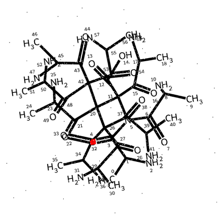 CC(N)C(=O)N(C(=O)C(C)N)C(C(=O)O)(C(=O)C(C)N)C(C(=O)C(C)N)(C(C(=O)C(C)N)(C(=O)C(C)N)C(=O)C(C)N)C(C(=O)C(C)N)(C(=O)C(C)N)C(=O)C(C)N